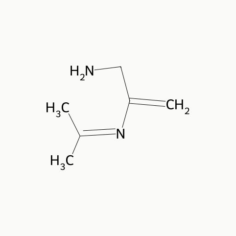 C=C(CN)N=C(C)C